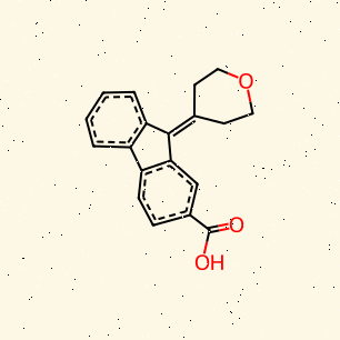 O=C(O)c1ccc2c(c1)C(=C1CCOCC1)c1ccccc1-2